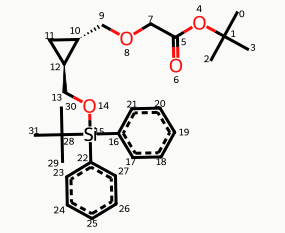 CC(C)(C)OC(=O)COC[C@H]1C[C@@H]1CO[Si](c1ccccc1)(c1ccccc1)C(C)(C)C